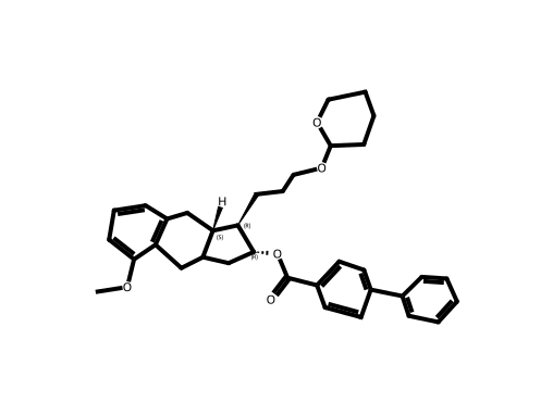 COc1cccc2c1CC1C[C@@H](OC(=O)c3ccc(-c4ccccc4)cc3)[C@H](CCCOC3CCCCO3)[C@H]1C2